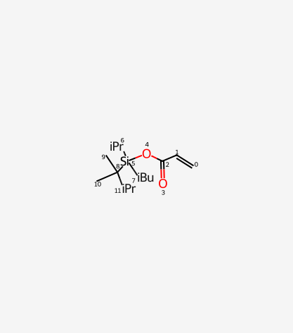 C=CC(=O)O[Si](C(C)C)(C(C)CC)C(C)(C)C(C)C